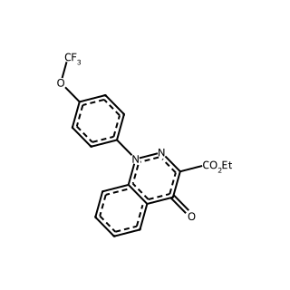 CCOC(=O)c1nn(-c2ccc(OC(F)(F)F)cc2)c2ccccc2c1=O